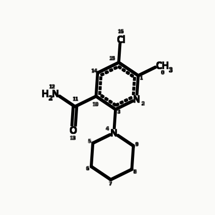 Cc1nc(N2CCCCC2)c(C(N)=O)cc1Cl